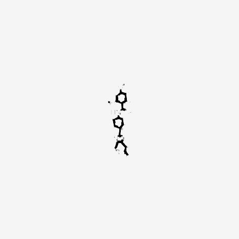 C=C/C=c1/oc(-c2ccc(NC(=O)c3ccc(OC)cc3OC)cc2)n/c1=C/N